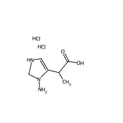 CC(C(=O)O)C1=CNCN1N.Cl.Cl